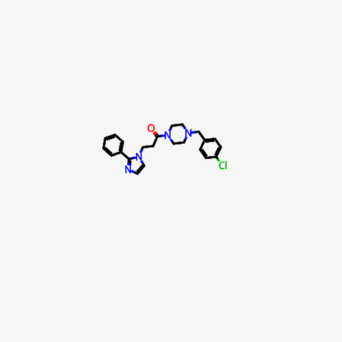 O=C(CCn1ccnc1-c1ccccc1)N1CCN(Cc2ccc(Cl)cc2)CC1